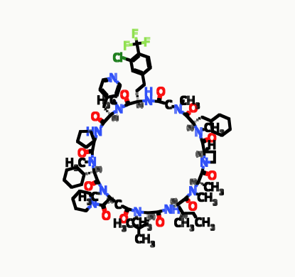 CC[C@H](C)[C@@H]1NC(=O)[C@H](CC(C)C)N(C)C(=O)C[C@@H](C(=O)N2CCCCC2)N(C)C(=O)[C@H](C2CCCCC2)N(C)C(=O)C2(CCCC2)NC(=O)[C@H](Cc2ccncc2)N(C)C(=O)[C@H](CCc2ccc(C(F)(F)F)c(Cl)c2)NC(=O)CN(C)C(=O)[C@H](CC2CCCCC2)N(C)C(=O)[C@@H]2CCN2C(=O)[C@H](C)N(C)C1=O